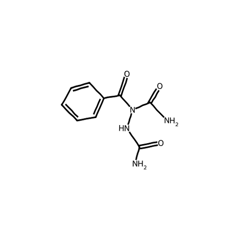 NC(=O)NN(C(N)=O)C(=O)c1ccccc1